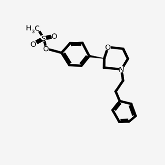 CS(=O)(=O)Oc1ccc([C@@H]2CN(CCc3ccccc3)CCO2)cc1